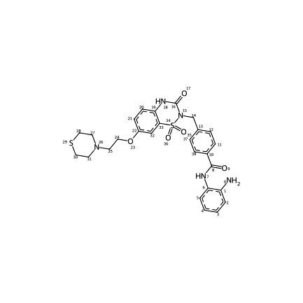 Nc1ccccc1NC(=O)c1ccc(CN2C(=O)Nc3ccc(OCCN4CCSCC4)cc3S2(=O)=O)cc1